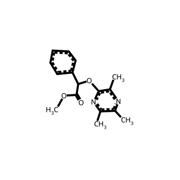 COC(=O)C(Oc1nc(C)c(C)nc1C)c1ccccc1